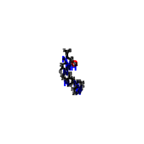 CC1=Cc2nc(C3CC3)cc(=O)n2NC1N1CCc2ncc(N3CCCn4nccc43)cc2C1